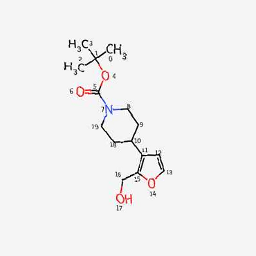 CC(C)(C)OC(=O)N1CCC(c2ccoc2CO)CC1